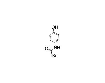 CCC(C)C(=O)Nc1ccc(O)cc1